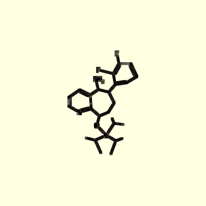 CC(C)[Si](OC1CCC(c2cccc(F)c2F)C(N)c2cccnc21)(C(C)C)C(C)C